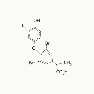 CC(C(=O)O)c1cc(Br)c(Oc2ccc(O)c(I)c2)c(Br)c1